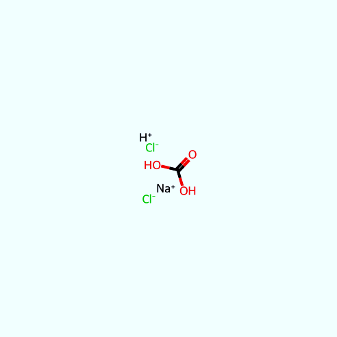 O=C(O)O.[Cl-].[Cl-].[H+].[Na+]